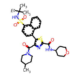 CCC(C)(C)NS(=O)(=O)c1ccc(-c2sc(C(=O)NC3CCOCC3)nc2C(=O)N2CCC(C)CC2)c2ccccc12